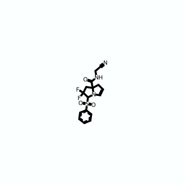 N#CCNC(=O)C12CC=CN1C(S(=O)(=O)c1ccccc1)C(F)(F)C2